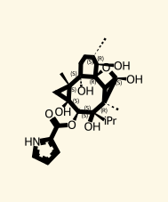 CC(C)[C@@]1(O)[C@@H](OC(=O)c2ccc[nH]2)[C@]2(O)C[C@]2(C)[C@@]2(O)CC[C@H](C)[C@@H](O)[C@@]23O[C@@]2(O)C3[C@@]21C